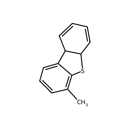 Cc1cccc2c1SC1C=CC=CC21